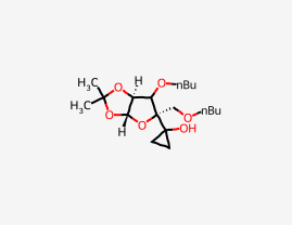 CCCCOC[C@]1(C2(O)CC2)O[C@@H]2OC(C)(C)O[C@H]2C1OCCCC